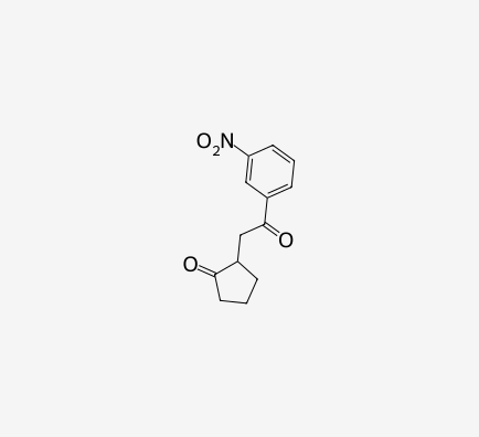 O=C(CC1CCCC1=O)c1cccc([N+](=O)[O-])c1